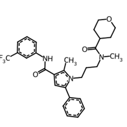 Cc1c(C(=O)Nc2cccc(C(F)(F)F)c2)cc(-c2ccccc2)n1CCCN(C)C(=O)C1CCOCC1